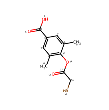 Cc1cc(C(=O)O)cc(C)c1OC(=O)CS